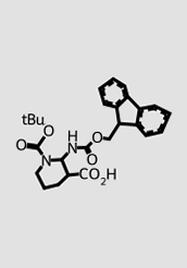 CC(C)(C)OC(=O)N1CCCC(C(=O)O)C1NC(=O)OCC1c2ccccc2-c2ccccc21